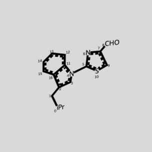 CC(C)Cc1cn(-c2nc(C=O)cs2)c2ccccc12